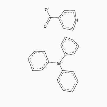 O=C([O-])c1ccncc1.c1cc[c]([Sn+]([c]2ccccc2)[c]2ccccc2)cc1